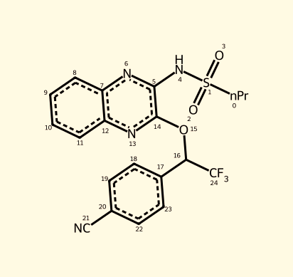 CCCS(=O)(=O)Nc1nc2ccccc2nc1OC(c1ccc(C#N)cc1)C(F)(F)F